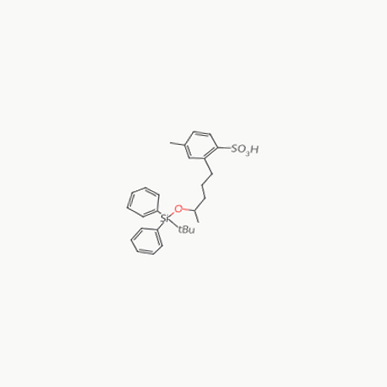 Cc1ccc(S(=O)(=O)O)c(CCCC(C)O[Si](c2ccccc2)(c2ccccc2)C(C)(C)C)c1